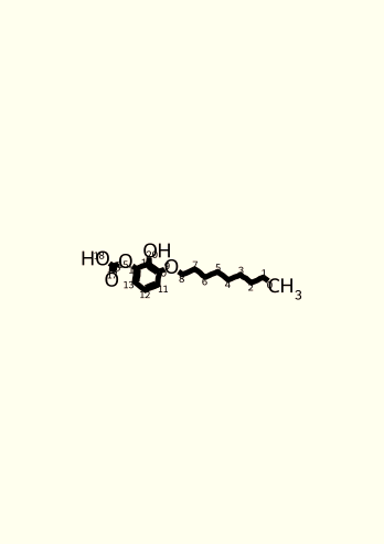 CCCCCCCCCOc1cccc(OC(=O)O)c1O